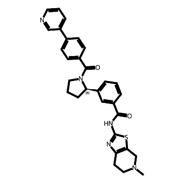 CN1CCc2nc(NC(=O)c3cccc([C@H]4CCCN4C(=O)c4ccc(-c5cccnc5)cc4)c3)sc2C1